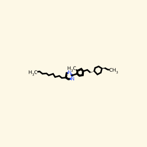 CCCCCCCCCc1cnc(-c2ccc(CC[C@H]3CC[C@H](CCC)CC3)cc2C)nc1